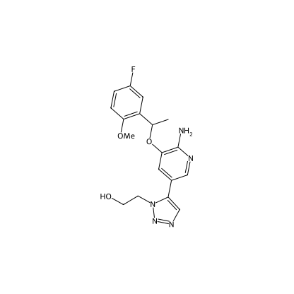 COc1ccc(F)cc1C(C)Oc1cc(-c2cnnn2CCO)cnc1N